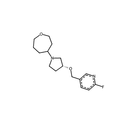 Fc1ccc(CO[C@@H]2CCN(C3CCCOCC3)C2)cn1